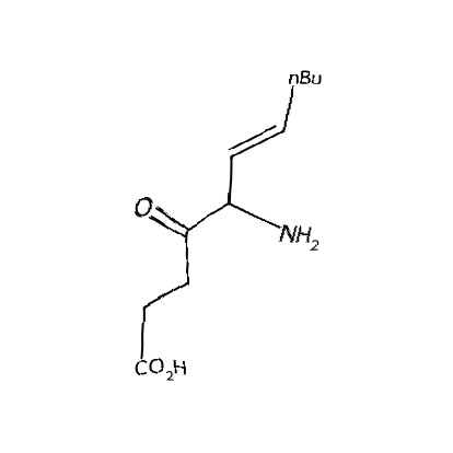 CCCCC=CC(N)C(=O)CCC(=O)O